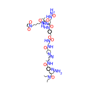 C=N/C(=C\C=C(/C)NC(=O)c1ccc2c(c1)N=C(N)CC(C(=O)N(CCC)CCC)=C2)N1CCC(C(=O)NCCNC(=O)OCc2ccc(NC(=O)[C@H](CCCNC(N)=O)NC(=O)[C@@H](NC(=O)CCCCCN3C(=O)C=CC3=O)C(C)C)cc2)CC1